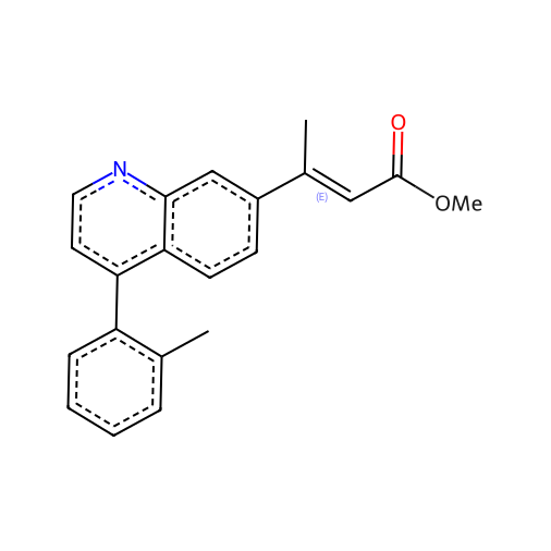 COC(=O)/C=C(\C)c1ccc2c(-c3ccccc3C)ccnc2c1